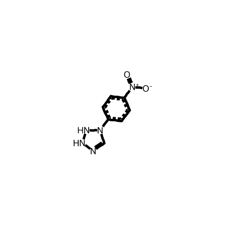 O=[N+]([O-])c1ccc(N2C=NNN2)cc1